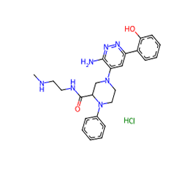 CNCCNC(=O)C1CN(c2cc(-c3ccccc3O)nnc2N)CCN1c1ccccc1.Cl